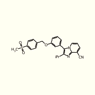 CC(C)c1nc2c(C#N)cccn2c1-c1cccc(OCc2ccc(S(C)(=O)=O)cc2)c1